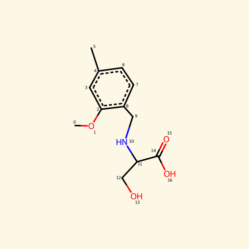 COc1cc(C)ccc1CNC(CO)C(=O)O